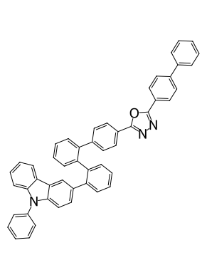 c1ccc(-c2ccc(-c3nnc(-c4ccc(-c5ccccc5-c5ccccc5-c5ccc6c(c5)c5ccccc5n6-c5ccccc5)cc4)o3)cc2)cc1